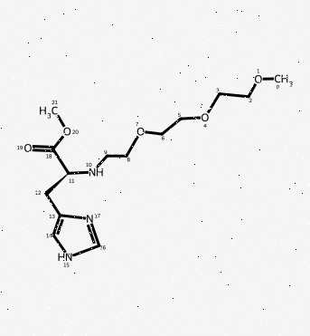 COCCOCCOCCN[C@@H](Cc1c[nH]cn1)C(=O)OC